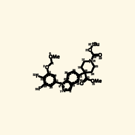 COCOc1cc(-n2ncc3cc(C4(C(=O)OC)CCN(C(=O)OC(C)(C)C)CC4)ccc32)cc(F)c1F